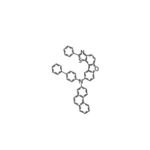 c1ccc(-c2ccc(N(c3ccc4c(ccc5ccccc54)c3)c3ccc4oc5ccc6nc(-c7ccccc7)sc6c5c4c3)cc2)cc1